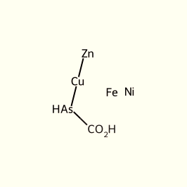 O=C(O)[AsH][Cu][Zn].[Fe].[Ni]